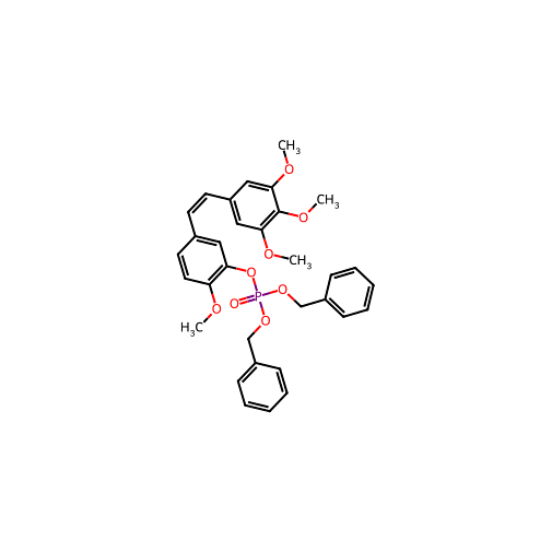 COc1ccc(/C=C\c2cc(OC)c(OC)c(OC)c2)cc1OP(=O)(OCc1ccccc1)OCc1ccccc1